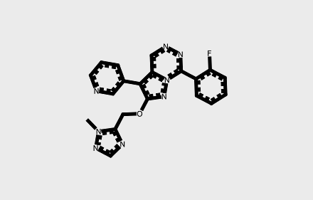 Cn1ncnc1COc1nn2c(-c3ccccc3F)nncc2c1-c1cccnc1